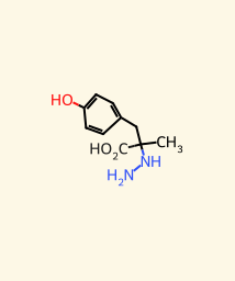 CC(Cc1ccc(O)cc1)(NN)C(=O)O